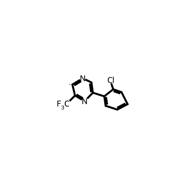 FC(F)(F)c1[c]ncc(-c2ccccc2Cl)n1